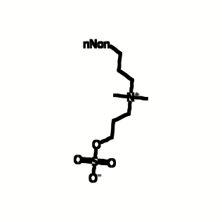 CCCCCCCCCCCC[N+](C)(C)CCCOS(=O)(=O)[O-]